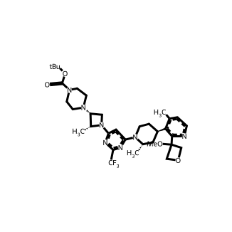 COC1(c2nccc(C)c2[C@@H]2CCN(c3cc(N4C[C@@H](N5CCN(C(=O)OC(C)(C)C)CC5)[C@H]4C)nc(C(F)(F)F)n3)[C@@H](C)C2)COC1